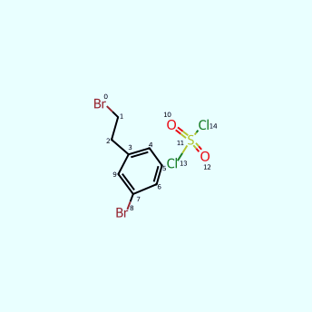 BrCCc1cccc(Br)c1.O=S(=O)(Cl)Cl